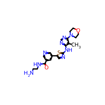 Cc1c(Nc2ncc(-c3cncc(C(=O)NCCN)c3)s2)ncnc1N1CCOCC1